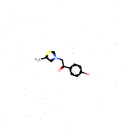 Cc1c[n+](CC(=O)c2ccc(Br)cc2)cs1